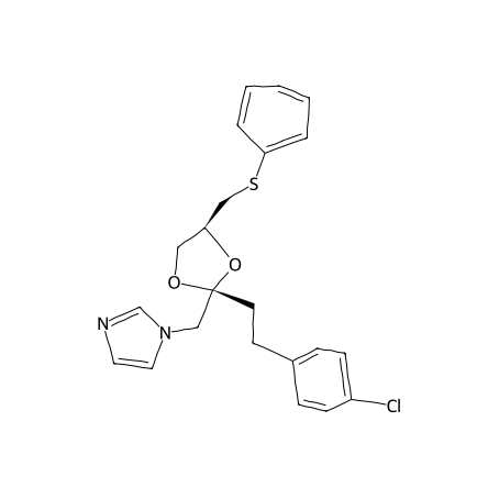 Clc1ccc(CC[C@@]2(Cn3ccnc3)OC[C@@H](CSc3ccccc3)O2)cc1